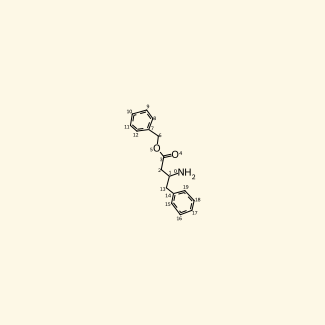 NC(CC(=O)OCc1ccccc1)Cc1ccccc1